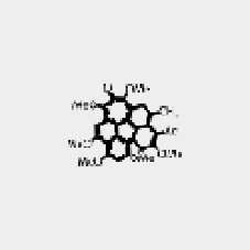 COC1=C(C(C)=O)C2=C(C)Cc3c(OC)c(=O)c(OC)c4cc(OC)c5c(OC)cc(OC)c6c(c2c3c4c56)C1=O